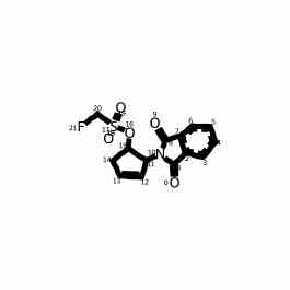 O=C1c2ccccc2C(=O)N1C1C=CCC1OS(=O)(=O)CF